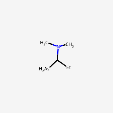 CCC([AsH2])N(C)C